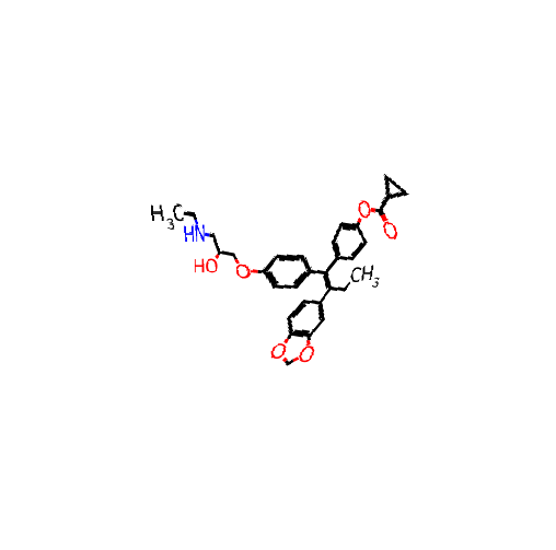 CCNCC(O)COc1ccc(/C(=C(/CC)c2ccc3c(c2)OCO3)c2ccc(OC(=O)C3CC3)cc2)cc1